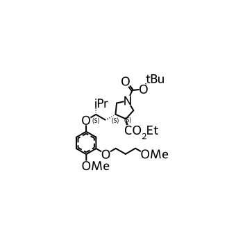 CCOC(=O)[C@@H]1CN(C(=O)OC(C)(C)C)C[C@H]1C[C@H](Oc1ccc(OC)c(OCCCOC)c1)C(C)C